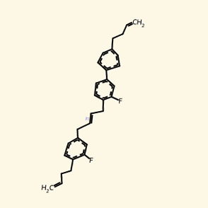 C=CCCc1ccc(-c2ccc(C/C=C/Cc3ccc(CCC=C)c(F)c3)c(F)c2)cc1